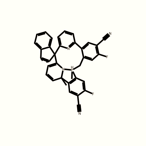 CC12C=CC=C3N1[PH](C)(Cc1cc(F)c(C#N)cc1-c1cccc(n1)C31c3ccccc3-c3ccccc31)c1cc(F)c(C#N)cc12